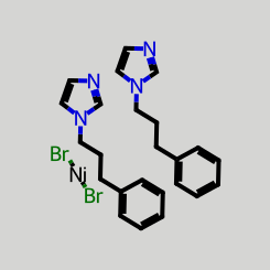 [Br][Ni][Br].c1ccc(CCCn2ccnc2)cc1.c1ccc(CCCn2ccnc2)cc1